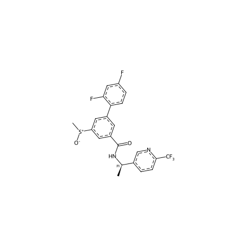 C[C@@H](NC(=O)c1cc(-c2ccc(F)cc2F)cc([S+](C)[O-])c1)c1ccc(C(F)(F)F)nc1